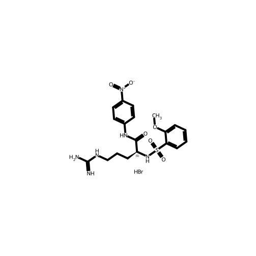 Br.COc1ccccc1S(=O)(=O)N[C@@H](CCCNC(=N)N)C(=O)Nc1ccc([N+](=O)[O-])cc1